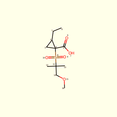 CCC1CC1(C(=O)O)S(=O)(=O)C(C)(C)COC